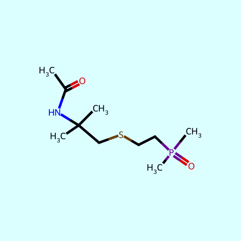 CC(=O)NC(C)(C)CSCCP(C)(C)=O